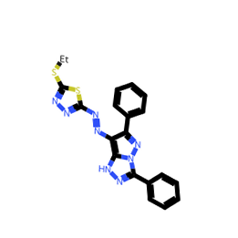 CCSc1nnc(N=Nc2c(-c3ccccc3)nn3c(-c4ccccc4)n[nH]c23)s1